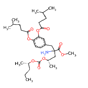 CCC[C@H](C)OC(=O)O[C@@H](C)CC(N)(Cc1ccc(OC(=O)CCC(C)C)c(OC(=O)CCC(C)C)c1)C(=O)OC